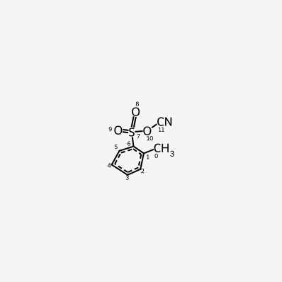 Cc1ccccc1S(=O)(=O)OC#N